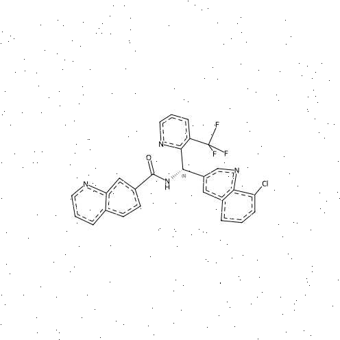 O=C(N[C@@H](c1cnc2c(Cl)cccc2c1)c1ncccc1C(F)(F)F)c1ccc2cccnc2c1